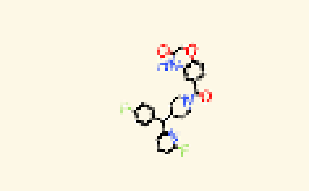 O=C1COc2ccc(C(=O)N3CCC(C(c4ccc(F)cc4)c4cccc(F)n4)CC3)cc2N1